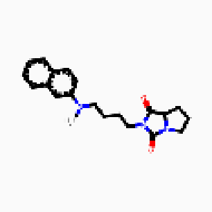 CN(CCCCN1C(=O)C2CCCN2C1=O)c1ccc2ccccc2c1